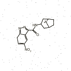 CN1C2CCC1CC(NC(=O)C1=NN=C3CC=C([N+](=O)[O-])C=C31)C2